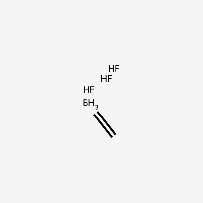 B.C=C.F.F.F